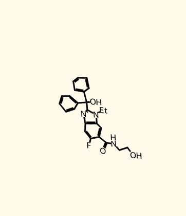 CCn1c(C(O)(c2ccccc2)c2ccccc2)nc2cc(F)c(C(=O)NCCO)cc21